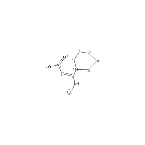 CN/C(=C/[N+](=O)[O-])N1CCCCC1